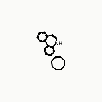 C1#CCCCCCC1.C1=Cc2ccccc2-c2ccccc2N1